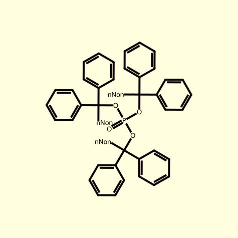 CCCCCCCCCC(OP(=O)(OC(CCCCCCCCC)(c1ccccc1)c1ccccc1)OC(CCCCCCCCC)(c1ccccc1)c1ccccc1)(c1ccccc1)c1ccccc1